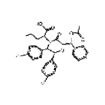 CCCC(C(=O)O)N1C(=O)[C@H]([C@H](OC(C)=O)c2ccncc2)O[C@@H](c2ccc(Cl)cc2)[C@H]1c1ccc(Cl)cc1